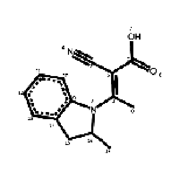 CC(=C(C#N)C(=O)O)N1c2ccccc2CC1C